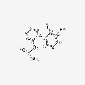 NC(=O)Oc1ccccc1-c1cccc(F)c1F